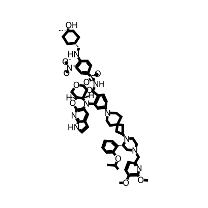 COc1ccc(CN2CCN(C3CC4(CCN(c5ccc(C(=O)NS(=O)(=O)c6ccc(NC[C@H]7CC[C@](C)(O)CC7)c([N+](=O)[O-])c6)c(N6c7cc8cc[nH]c8nc7O[C@H]7COCC[C@@H]76)c5)CC4)C3)[C@@H](c3ccccc3OC(C)C)C2)nc1OC